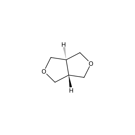 C1OC[C@H]2COC[C@H]12